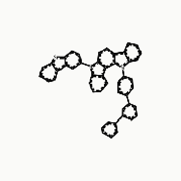 c1ccc(-c2cccc(-c3ccc(-n4c5ccccc5c5ccc6c(c7ccccc7n6-c6ccc7sc8ccccc8c7c6)c54)cc3)c2)cc1